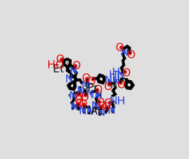 CC[C@@]1(O)C(=O)CCc2c1cc1n(c2=O)Cc2c-1nc1ccccc1c2CCN(C(=O)OCc1ccc(NC(=O)[C@H](CCCCNC(=O)CN(C)C(=O)CN(C)C(=O)CN(C)C(=O)CN(C)C(=O)CN(C)C(=O)CN(C)C(=O)CN(C)C(=O)CN(C)C(=O)CN(C)C(=O)CN(C)C(C)=O)NC(=O)[C@H](Cc2ccccc2)NC(=O)CCCCCN2C(=O)C=CC2=O)cc1)C(C)C